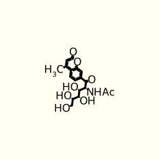 CC(=O)N[C@@H](C(=O)c1ccc2c(C)cc(=O)oc2c1)[C@@H](O)[C@H](O)[C@H](O)CO